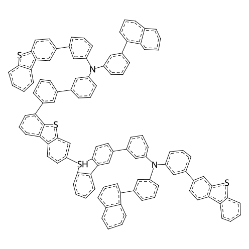 c1cc(-c2cccc(N(c3cccc(-c4ccc5sc6ccccc6c5c4)c3)c3cccc(-c4cccc5ccccc45)c3)c2)cc(-c2cccc3c2sc2cc([SH]4c5ccccc5-c5cc(-c6cccc(N(c7cccc(-c8ccc9c(c8)sc8ccccc89)c7)c7cccc(-c8cccc9ccccc89)c7)c6)ccc54)ccc23)c1